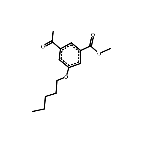 CCCCCOc1cc(C(C)=O)cc(C(=O)OC)c1